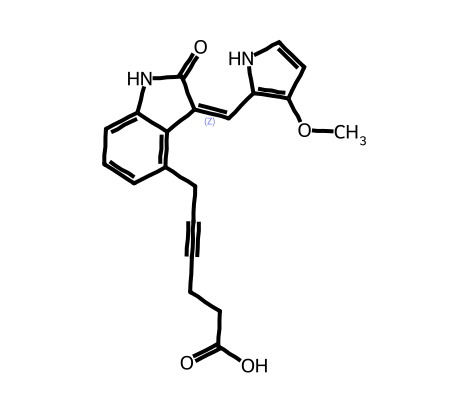 COc1cc[nH]c1/C=C1\C(=O)Nc2cccc(CC#CCCC(=O)O)c21